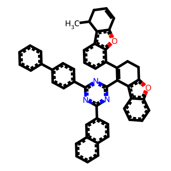 CC1CC=Cc2oc3c(C4=C(c5nc(-c6ccc(-c7ccccc7)cc6)nc(-c6ccc7ccccc7c6)n5)c5c(oc6ccccc56)CC4)cccc3c21